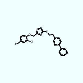 Clc1ccc(OCc2nnc(SCCc3ccc(-c4ccccc4)cc3)o2)c(Cl)c1